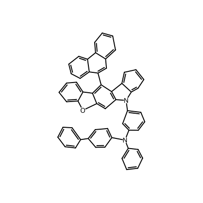 c1ccc(-c2ccc(N(c3ccccc3)c3cccc(-n4c5ccccc5c5c(-c6cc7ccccc7c7ccccc67)c6c(cc54)oc4ccccc46)c3)cc2)cc1